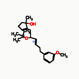 COc1cccc(CC/C=C/C(CC2=CCCC2(C)O)O[Si](C)(C)C)c1